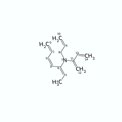 C=C/C=C\C(=C/C)N(CC=C)C(=C)C=C